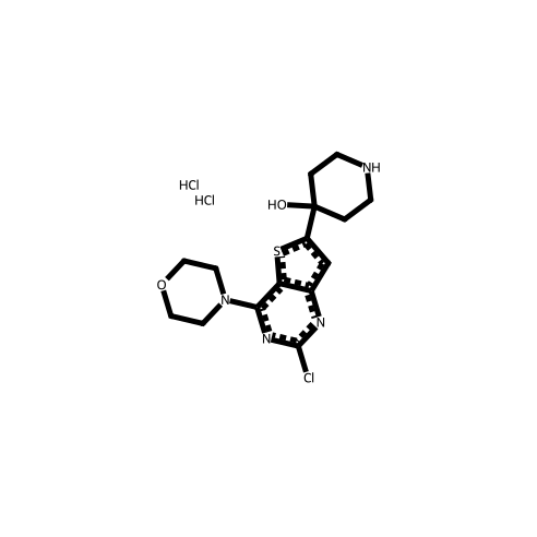 Cl.Cl.OC1(c2cc3nc(Cl)nc(N4CCOCC4)c3s2)CCNCC1